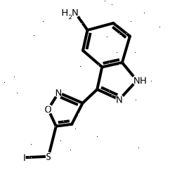 Nc1ccc2[nH]nc(-c3cc(SI)on3)c2c1